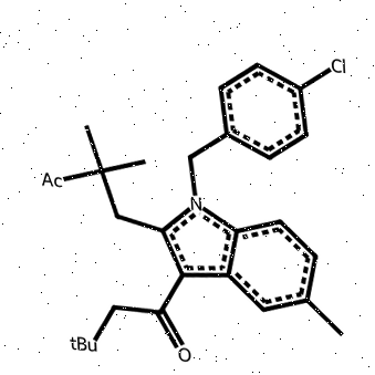 CC(=O)C(C)(C)Cc1c(C(=O)CC(C)(C)C)c2cc(C)ccc2n1Cc1ccc(Cl)cc1